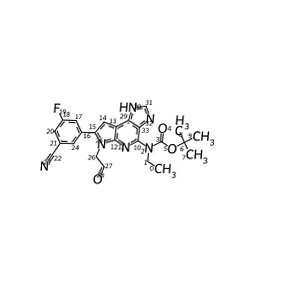 CCN(C(=O)OC(C)(C)C)c1nc2c(cc(-c3cc(F)cc(C#N)c3)n2CC=O)c2[nH]cnc12